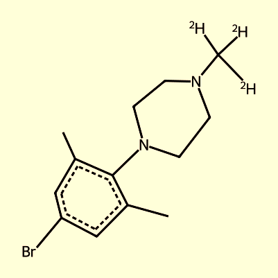 [2H]C([2H])([2H])N1CCN(c2c(C)cc(Br)cc2C)CC1